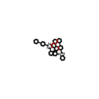 c1ccc(-c2ccc(-c3nc(-c4ccccc4)nc(-c4ccccc4-c4cccc5c(-c6ccccc6-c6ccc(-c7nc8ccccc8n7-c7ccccc7)cc6)cccc45)n3)cc2)cc1